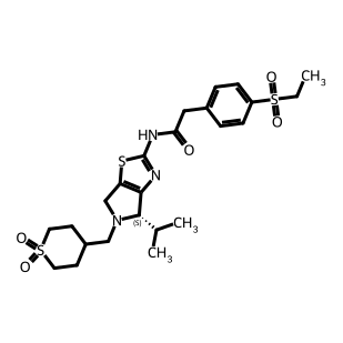 CCS(=O)(=O)c1ccc(CC(=O)Nc2nc3c(s2)CN(CC2CCS(=O)(=O)CC2)[C@H]3C(C)C)cc1